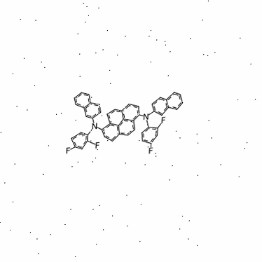 Fc1ccc(N(c2ccc3ccccc3c2)c2ccc3ccc4c(N(c5ccc6ccccc6c5)c5ccc(F)cc5F)ccc5ccc2c3c54)c(F)c1